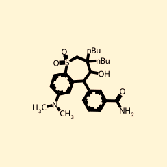 CCCCC1(CCCC)CS(=O)(=O)c2ccc(N(C)C)cc2C(c2cccc(C(N)=O)c2)C1O